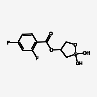 O=C(OC1COS(O)(O)C1)c1ccc(F)cc1F